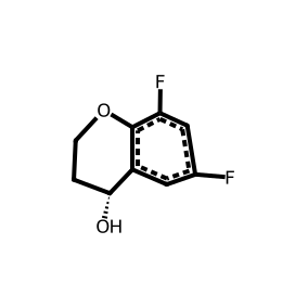 O[C@@H]1CCOc2c(F)cc(F)cc21